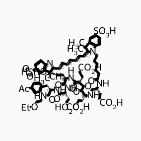 CCOCCNC(=O)[C@H](Cc1ccc(C(C)=O)cc1)NC(=O)[C@@H](CCC(=O)O)NC(=O)[C@@H](CCC(=O)O)NC(=O)[C@@H](CCC(=O)O)CC(=O)[C@@H](CCC(=O)O)NC(=O)[C@@H](CCC(=O)O)NC(=O)CCCCCN1/C(=C/C=C/C=C/C=C/C2=Nc3ccc([SH](=O)=O)cc3C2(C)C)C(C)(C)c2cc(S(=O)(=O)O)ccc21